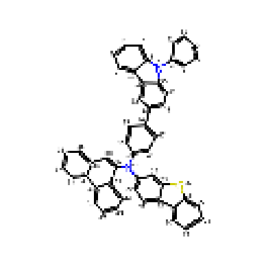 c1ccc(-n2c3ccccc3c3cc(-c4ccc(N(c5ccc6c(c5)sc5ccccc56)c5cc6ccccc6c6ccccc56)cc4)ccc32)cc1